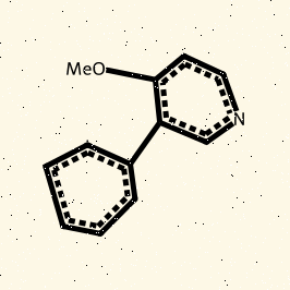 COc1ccncc1-c1[c]cccc1